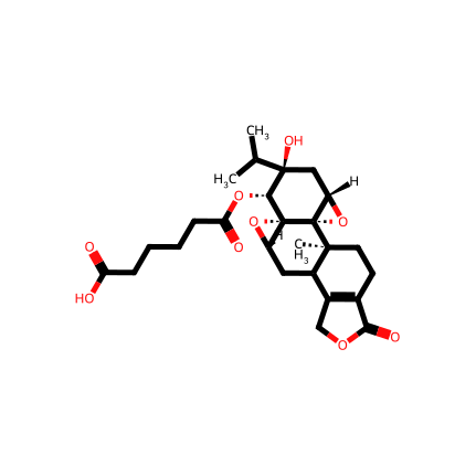 CC(C)[C@]1(O)C[C@@H]2O[C@]23[C@]2(O[C@H]2CC2C4=C(CC[C@@]23C)C(=O)OC4)[C@@H]1OC(=O)CCCCC(=O)O